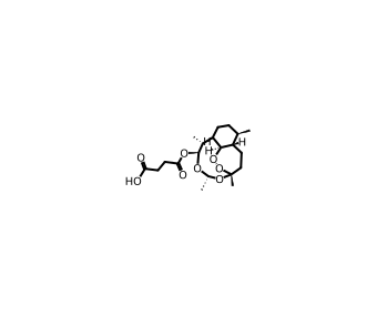 C[C@@H]1O[C@@H](OC(=O)CCC(=O)O)[C@H](C)[C@@H]2CC[C@@H](C)[C@@H]3CC[C@@](C)(OO[C@H]32)O1